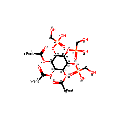 CCCCCC(=O)O[C@@H]1[C@@H](OC(=O)CCCCC)[C@H](OP(=O)(O)CO)[C@@H](OP(=O)(O)CO)[C@@H](OP(=O)(O)CO)[C@H]1OC(=O)CCCCC